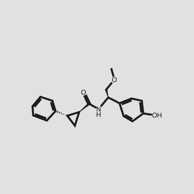 COC[C@H](NC(=O)[C@H]1C[C@@H]1c1ccccc1)c1ccc(O)cc1